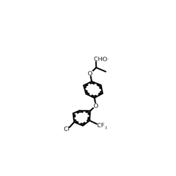 CC([C]=O)Oc1ccc(Oc2ccc(Cl)cc2C(F)(F)F)cc1